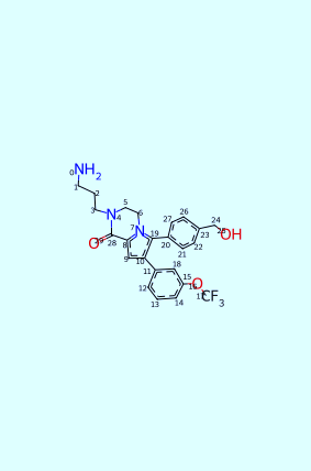 NCCCN1CCn2c(cc(-c3cccc(OC(F)(F)F)c3)c2-c2ccc(CO)cc2)C1=O